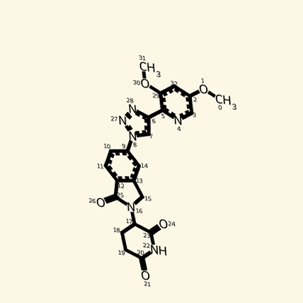 COc1cnc(-c2cn(-c3ccc4c(c3)CN(C3CCC(=O)NC3=O)C4=O)nn2)c(OC)c1